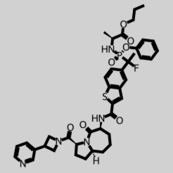 CCCOC(=O)[C@H](C)NP(=O)(Oc1ccccc1)C(C)(F)c1ccc2sc(C(=O)N[C@H]3CCC[C@H]4CC[C@@H](C(=O)N5CC(c6cccnc6)C5)N4C3=O)cc2c1